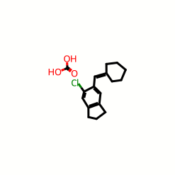 Clc1cc2c(cc1C=C1CCCCC1)CCC2.O=C(O)O